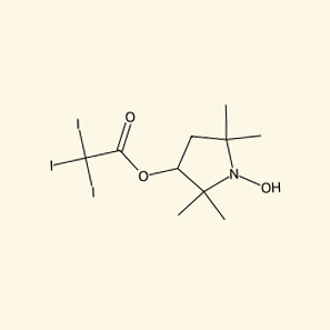 CC1(C)CC(OC(=O)C(I)(I)I)C(C)(C)N1O